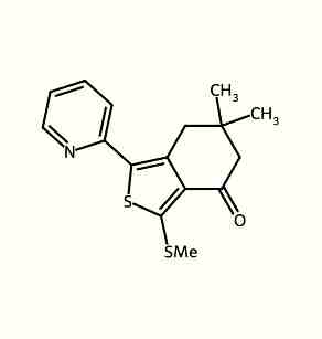 CSc1sc(-c2ccccn2)c2c1C(=O)CC(C)(C)C2